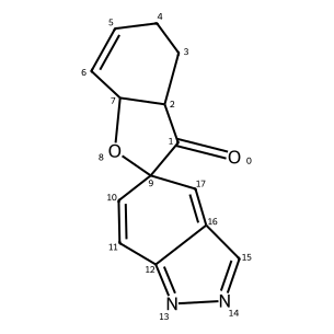 O=C1C2CCC=CC2OC12C=CC1=NN=CC1=C2